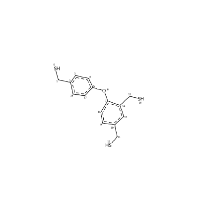 SCc1ccc(Oc2ccc(CS)cc2CS)cc1